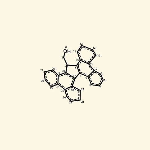 OCC1c2c(c3ccccc3c3ccccc23)-c2c1c1ccccc1c1ccccc21